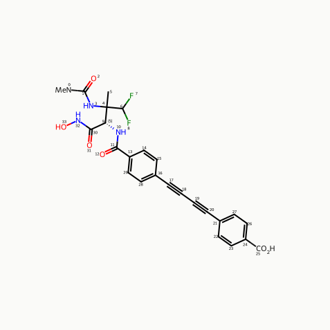 CNC(=O)NC(C)(C(F)F)[C@H](NC(=O)c1ccc(C#CC#Cc2ccc(C(=O)O)cc2)cc1)C(=O)NO